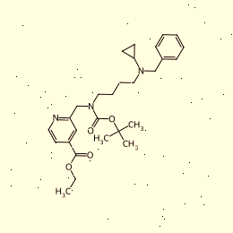 CCOC(=O)c1ccnc(CN(CCCCN(Cc2ccccc2)C2CC2)C(=O)OC(C)(C)C)c1